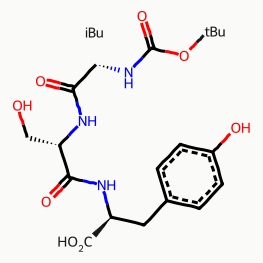 CC[C@H](C)[C@H](NC(=O)OC(C)(C)C)C(=O)N[C@@H](CO)C(=O)N[C@@H](Cc1ccc(O)cc1)C(=O)O